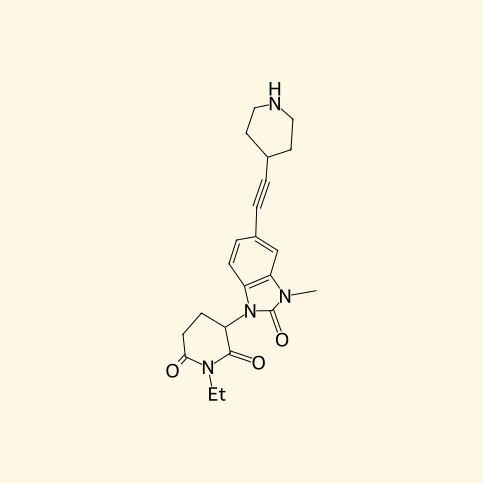 CCN1C(=O)CCC(n2c(=O)n(C)c3cc(C#CC4CCNCC4)ccc32)C1=O